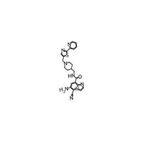 N#Cc1c(N)cc(C(=O)NCC2CCN(Cc3cnc(-c4ccccn4)s3)CC2)c2nccn12